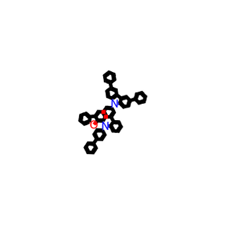 c1ccc(-c2ccc(N(c3ccccc3-c3cccc(-n4c5ccc(-c6ccccc6)cc5c5cc(-c6ccccc6)ccc54)c3)c3cccc4c3oc3ccccc34)cc2)cc1